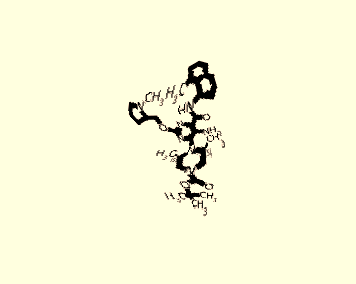 Cc1cccc2cccc(NC(=O)c3nc(OCC4CCCN4C)nc(N4[C@@H](C)CN(C(=O)OC(C)(C)C)C[C@@H]4C)c3N)c12